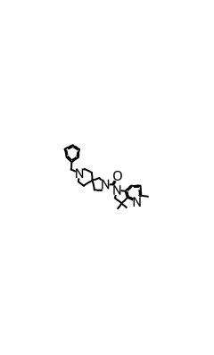 Cc1ccc2c(n1)C(C)(C)CN2C(=O)N1CCC2(CCN(Cc3ccccc3)CC2)C1